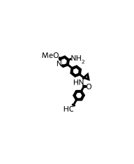 C#Cc1ccc(C(=O)NC2(c3ccc(-c4cnc(OC)cc4N)cc3)CC2)cc1